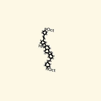 CCCCCCCCc1ccc(C#Cc2ccc3[nH]c4c(ccc5c4ccc4c6cc(CCc7ccc(CCCCCCCC)cc7)ccc6sc45)c3c2)cc1